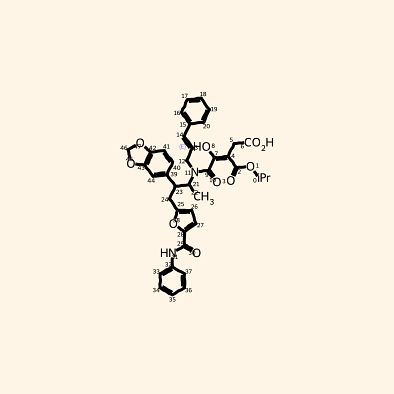 CC(C)OC(=O)C(CC(=O)O)=C(O)C(=O)N(C/C=C/c1ccccc1)C(C)C(Cc1ccc(C(=O)Nc2ccccc2)o1)c1ccc2c(c1)OCO2